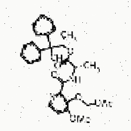 COc1ccnc(C(=O)N[C@@H](C)C(=O)O[C@@H](C)C(C)(c2ccccc2)c2ccccc2)c1OCOC(C)=O